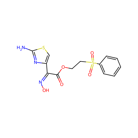 Nc1nc(/C(=N/O)C(=O)OCCS(=O)(=O)c2ccccc2)cs1